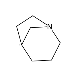 C1C[C]2CCN(C1)C2